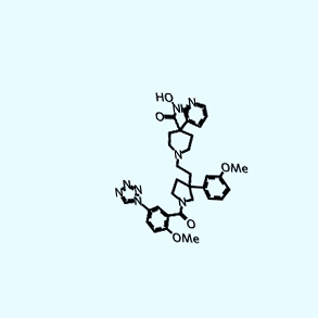 COc1cccc(C2(CCN3CCC(C(=O)NO)(c4cccnc4)CC3)CCN(C(=O)c3cc(-n4cnnn4)ccc3OC)C2)c1